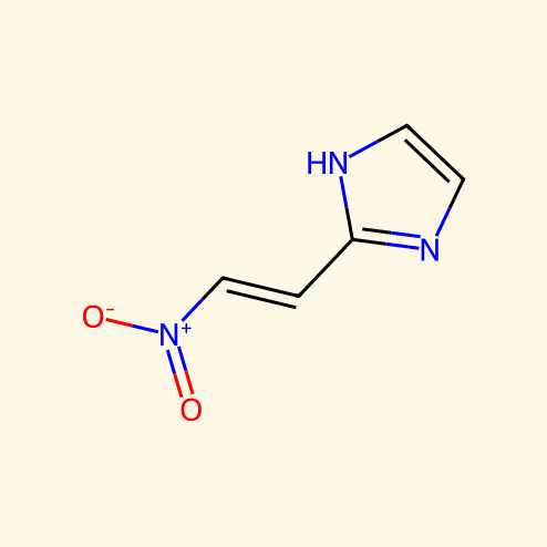 O=[N+]([O-])C=Cc1ncc[nH]1